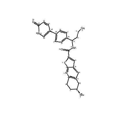 CC(C)(C)[C@H]1CCc2nc3sc(C(=O)NC(CCO)c4ccc(-c5ccc(=O)[nH]c5)cc4)cc3cc2C1